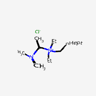 CCCCCCCC[N+](CC)(CC)C(C)N(C)C.[Cl-]